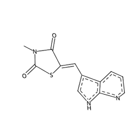 CN1C(=O)S/C(=C\c2c[nH]c3ncccc23)C1=O